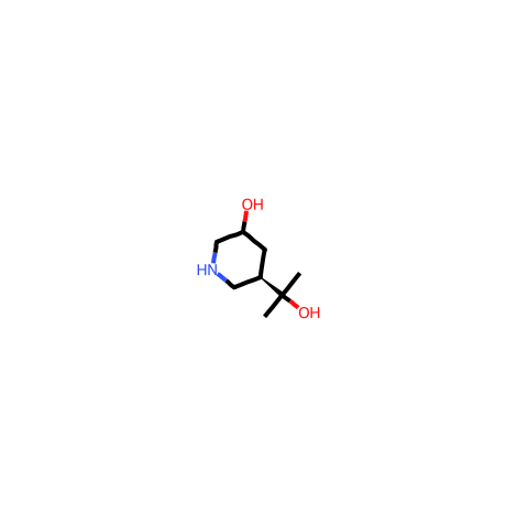 CC(C)(O)[C@H]1CNCC(O)C1